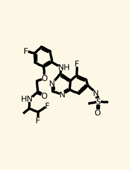 CC(NC(=O)COc1cc(F)ccc1Nc1ncnc2cc(N=S(C)(C)=O)cc(F)c12)C(F)F